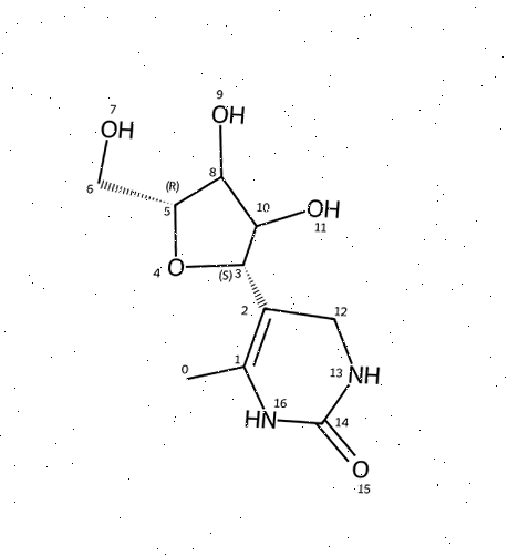 CC1=C([C@@H]2O[C@H](CO)C(O)C2O)CNC(=O)N1